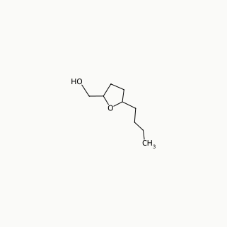 CCCCC1CCC(CO)O1